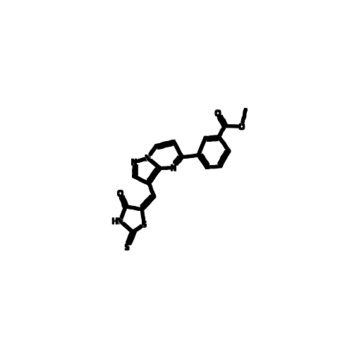 COC(=O)c1cccc(-c2ccn3ncc(/C=C4/SC(=S)NC4=O)c3n2)c1